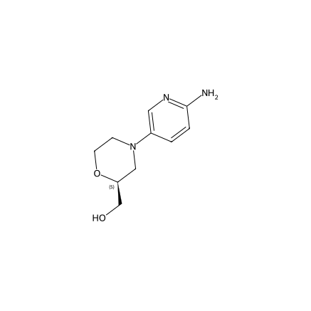 Nc1ccc(N2CCO[C@H](CO)C2)cn1